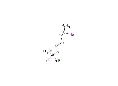 CCC[C@@](C)(I)CCCCC(C)I